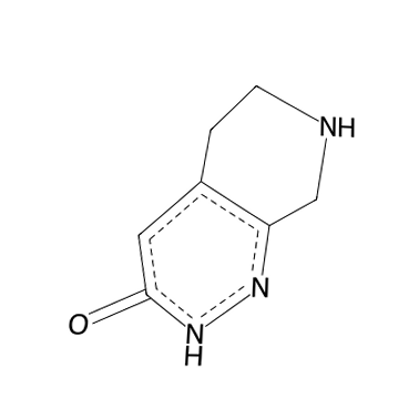 O=c1cc2c(n[nH]1)CNCC2